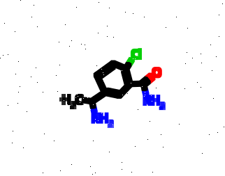 [CH2]C(N)c1ccc(Cl)c(C(N)=O)c1